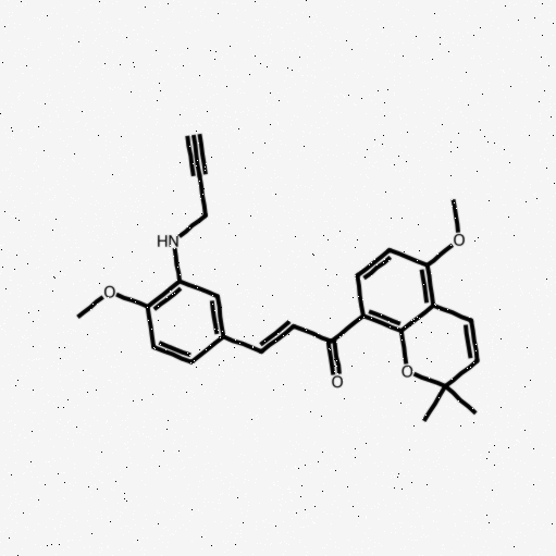 C#CCNc1cc(C=CC(=O)c2ccc(OC)c3c2OC(C)(C)C=C3)ccc1OC